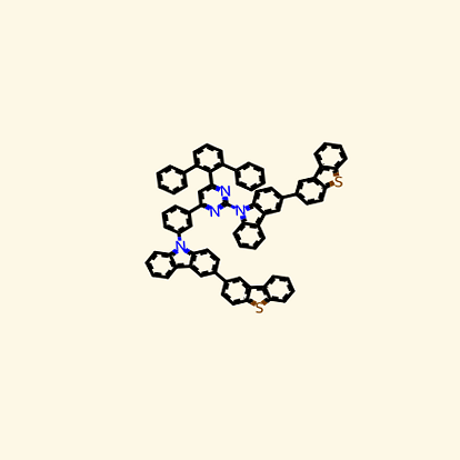 c1ccc(-c2cccc(-c3ccccc3)c2-c2cc(-c3cccc(-n4c5ccccc5c5cc(-c6ccc7sc8ccccc8c7c6)ccc54)c3)nc(-n3c4ccccc4c4cc(-c5ccc6sc7ccccc7c6c5)ccc43)n2)cc1